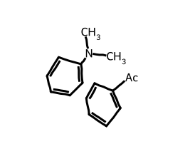 CC(=O)c1ccccc1.CN(C)c1ccccc1